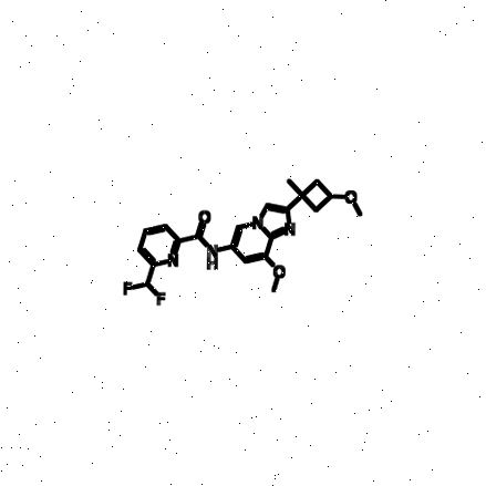 COc1cc(NC(=O)c2cccc(C(F)F)n2)cn2cc(C3(C)CC(OC)C3)nc12